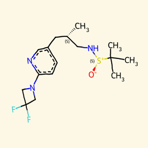 C[C@H](CN[S@+]([O-])C(C)(C)C)Cc1ccc(N2CC(F)(F)C2)nc1